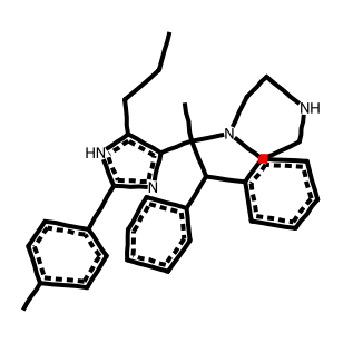 CCCc1[nH]c(-c2ccc(C)cc2)nc1C(C)(C(c1ccccc1)c1ccccc1)N1CCNCC1